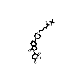 CC(C)(C)OC(=O)CCCCN1CCN(c2ccc3c(c2)CN(C2CCC(=O)NC2=O)C3=O)CC1